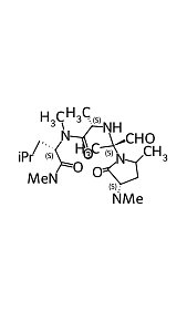 CNC(=O)[C@H](CC(C)C)N(C)C(=O)[C@H](C)N[C@](C)(C=O)N1C(=O)[C@@H](NC)CC1C